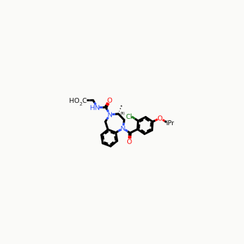 CC(C)Oc1ccc(C(=O)N2C[C@@H](C)N(C(=O)NCC(=O)O)Cc3ccccc32)c(Cl)c1